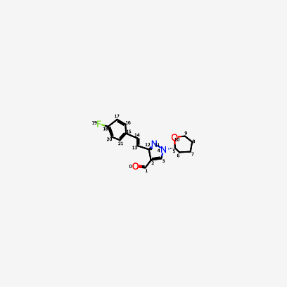 O=Cc1cn([C@H]2CCCCO2)nc1/C=C/c1ccc(F)cc1